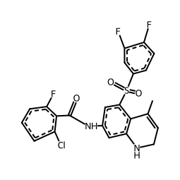 CC1=CCNc2cc(NC(=O)c3c(F)cccc3Cl)cc(S(=O)(=O)c3ccc(F)c(F)c3)c21